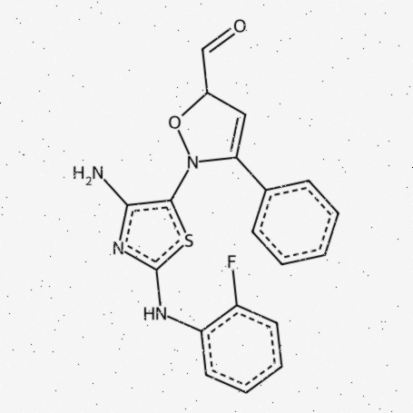 Nc1nc(Nc2ccccc2F)sc1N1OC(C=O)C=C1c1ccccc1